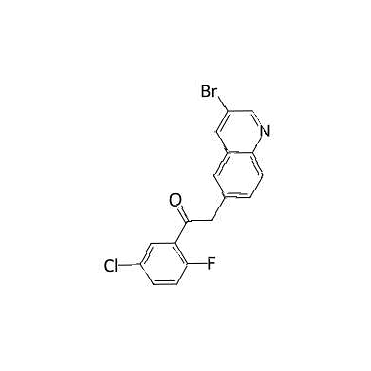 O=C(Cc1ccc2ncc(Br)cc2c1)c1cc(Cl)ccc1F